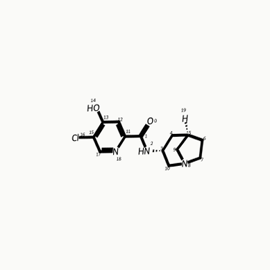 O=C(N[C@@H]1C[C@H]2CCN(C2)C1)c1cc(O)c(Cl)cn1